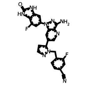 N#Cc1ccc(Cn2nccc2-c2cnc3c(N)nn(-c4cc(F)c5[nH]c(=O)[nH]c5c4)c3c2)c(F)c1